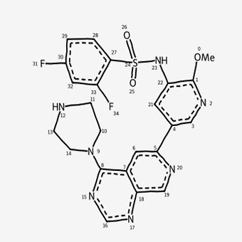 COc1ncc(-c2cc3c(N4CCNCC4)ncnc3cn2)cc1NS(=O)(=O)c1ccc(F)cc1F